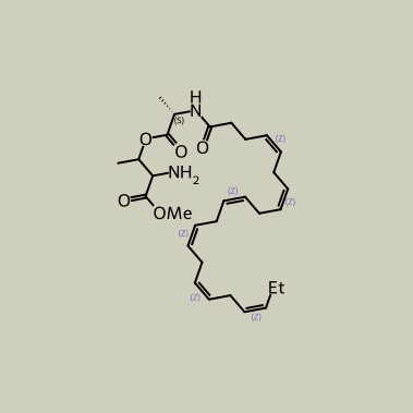 CC/C=C\C/C=C\C/C=C\C/C=C\C/C=C\C/C=C\CCC(=O)N[C@@H](C)C(=O)OC(C)C(N)C(=O)OC